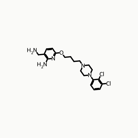 NCc1ccc(OCCCCN2CCN(c3cccc(Cl)c3Cl)CC2)nc1N